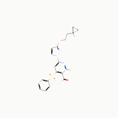 NC(=O)c1c(S(=O)(=O)c2ccccc2)cc(-n2ccc(OCCC3(C(F)(F)F)CC3)n2)nc1Cl